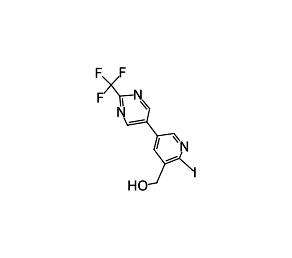 OCc1cc(-c2cnc(C(F)(F)F)nc2)cnc1I